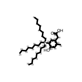 CCCCCCCC[PH](CCCCCCCC)(CCCCCCCC)c1cc(CC(=O)O)c(C)cc1O